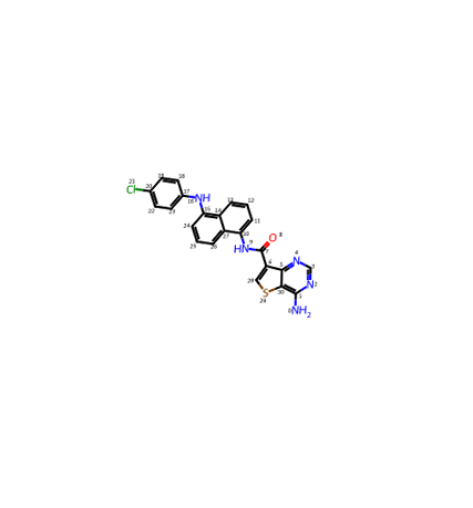 Nc1ncnc2c(C(=O)Nc3cccc4c(Nc5ccc(Cl)cc5)cccc34)csc12